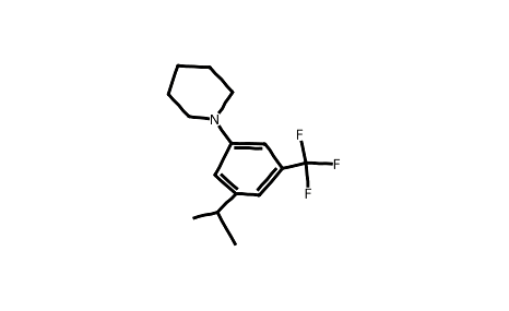 CC(C)c1cc(N2CCCCC2)cc(C(F)(F)F)c1